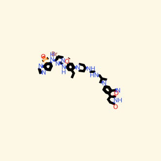 CCc1cc(Nc2ncc(Br)c(Nc3ccc4nccnc4c3P(C)(C)=O)n2)c(OC)cc1N1CCC(NCCNCC2CN(c3ccc(C4CCC(=O)NC4=O)c(C#N)c3)C2)CC1